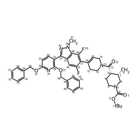 C[C@@H]1CN(C(=O)OC(C)(C)C)CC[C@@H]1C(=O)N1CC=C(c2c(F)cc3c(-c4ccc(OCc5ccccc5)nc4OCc4ccccc4)nn(C)c3c2F)CC1